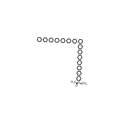 C1CCCCC1.C1CCCCC1.C1CCCCC1.C1CCCCC1.C1CCCCC1.C1CCCCC1.C1CCCCC1.C1CCCCC1.C1CCCCC1.C1CCCCC1.C1CCCCC1.C1CCCCC1.C1CCCCC1.C1CCCCC1.C1CCCCC1.CCOC(C)=O